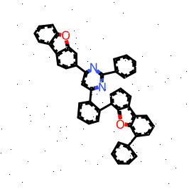 c1ccc(-c2nc(-c3ccc4c(c3)oc3ccccc34)cc(-c3ccccc3-c3cccc4c3oc3c(-c5ccccc5)cccc34)n2)cc1